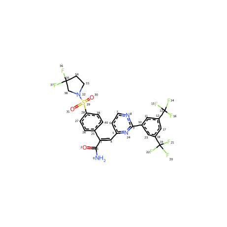 NC(=O)/C(=C/c1ccnc(-c2cc(C(F)(F)F)cc(C(F)(F)F)c2)n1)c1ccc(S(=O)(=O)N2CCC(F)(F)C2)cc1